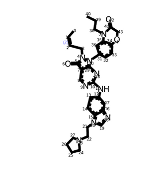 C/C=C\Cn1c(=O)c2cnc(Nc3ccc4c(c3)ncn4CCN3CCCC3)nc2n1-c1ccc2c(c1)N(CCC)C(=O)CO2